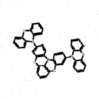 c1ccc2c(c1)Oc1ccccc1N2c1ccc2c(c1)Oc1cccc3c1B2c1ccc(N2c4ccccc4Oc4ccccc42)cc1O3